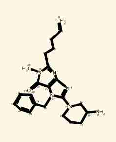 C=CCCCc1nc2nc(N3CCCC(N)C3)n(Cc3ccccc3)c2c(=O)n1C